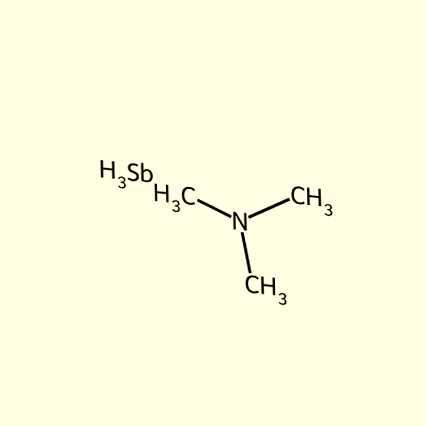 CN(C)C.[SbH3]